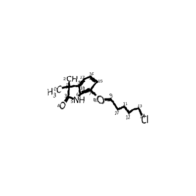 CC1(C)C(=O)Nc2c(OCCCCCCl)cccc21